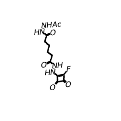 CC(=O)NNC(=O)CCCCC(=O)NNc1c(F)c(=O)c1=O